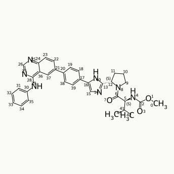 COC(=O)N[C@H](C(=O)N1CCC[C@H]1c1ncc(-c2ccc(-c3ccc4ncnc(Nc5ccccc5)c4c3)cc2)[nH]1)C(C)C